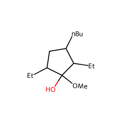 CCCCC1CC(CC)C(O)(OC)C1CC